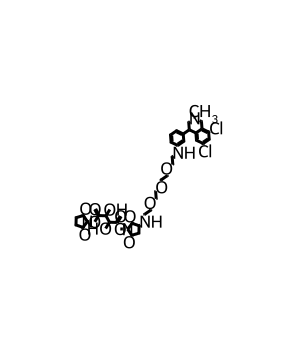 CN1Cc2c(Cl)cc(Cl)cc2C(c2cccc(NCCOCCOCCOCCNC3CC(=O)N(OC(=O)C(O)C(O)C(=O)ON4C(=O)CCC4=O)C3=O)c2)C1